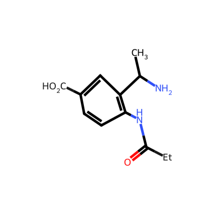 CCC(=O)Nc1ccc(C(=O)O)cc1C(C)N